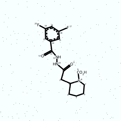 O=C(CC1CCCCN1C(=O)O)NNC(=O)c1cc(F)cc(F)c1